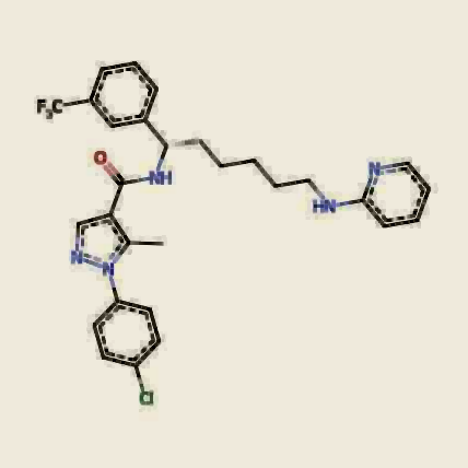 Cc1c(C(=O)N[C@@H](CCCCCNc2ccccn2)c2cccc(C(F)(F)F)c2)cnn1-c1ccc(Cl)cc1